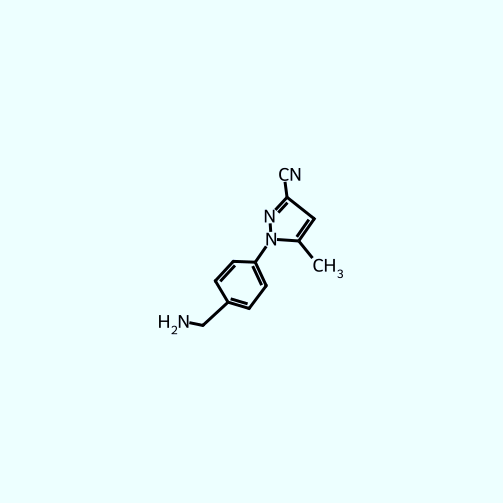 Cc1cc(C#N)nn1-c1ccc(CN)cc1